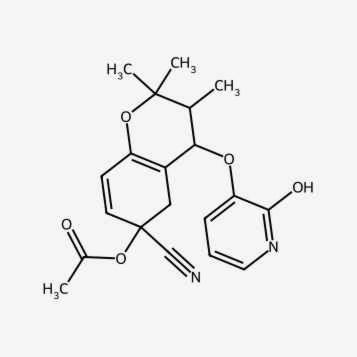 CC(=O)OC1(C#N)C=CC2=C(C1)C(Oc1cccnc1O)C(C)C(C)(C)O2